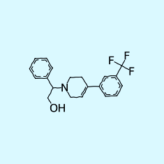 OCC(c1ccccc1)N1CC=C(c2cccc(C(F)(F)F)c2)CC1